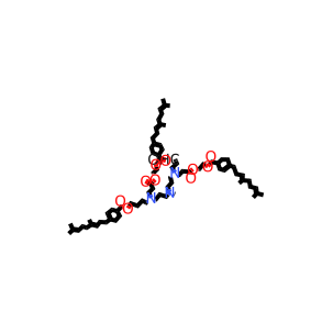 CC(C)=CCC/C(C)=C/CCC1=CCC(C(=O)OCCCCN(CCCN(C)CCCN(CCC=O)CCC(=O)OCCOC(=O)C2CC=C(CC/C=C(\C)CCC=C(C)C)CC2)CCC(=O)OCCOC(=O)C2CC=C(CC/C=C(\C)CCC=C(C)C)CC2)CC1